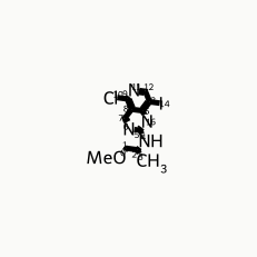 COCC(C)Nc1ncc2c(Cl)ncc(I)c2n1